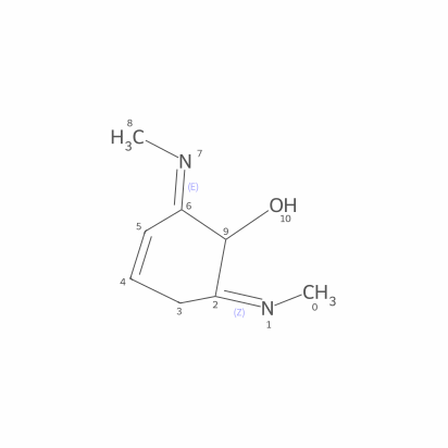 C/N=C1/CC=C/C(=N\C)C1O